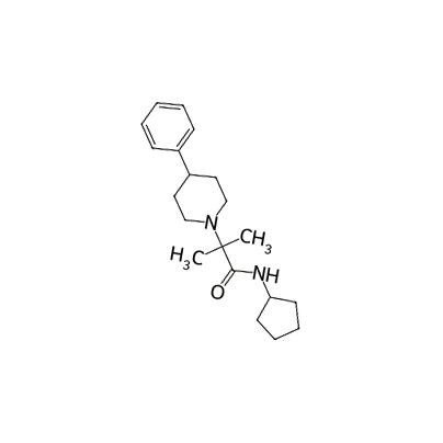 CC(C)(C(=O)NC1CCCC1)N1CCC(c2ccccc2)CC1